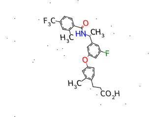 Cc1cc(Oc2cc(F)cc([C@@H](C)NC(=O)c3ccc(C(F)(F)F)cc3C)c2)ccc1CCC(=O)O